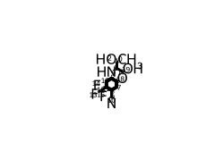 CC(O)C(Nc1ccc(C#N)c(C(F)(F)F)c1)C(=O)O